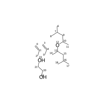 C=CC.C=CC.CC(C)CC(C)OC(C)CC(C)C.OCCO